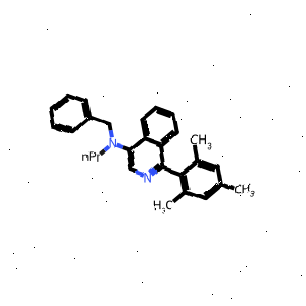 CCCN(Cc1ccccc1)c1cnc(-c2c(C)cc(C)cc2C)c2ccccc12